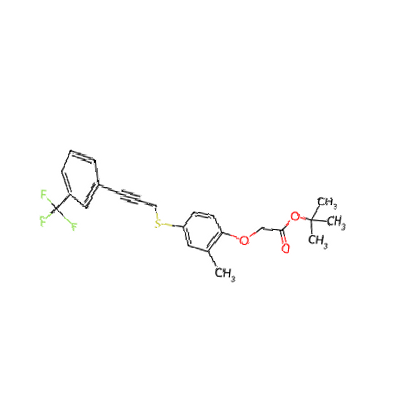 Cc1cc(SCC#Cc2cccc(C(F)(F)F)c2)ccc1OCC(=O)OC(C)(C)C